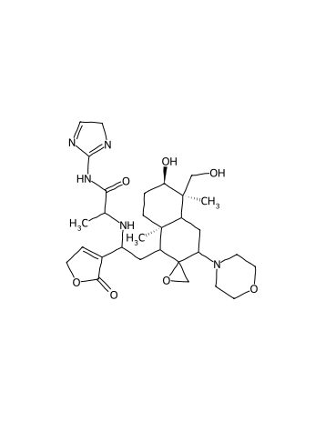 CC(NC(CC1C2(CO2)C(N2CCOCC2)CC2[C@]1(C)CC[C@@H](O)[C@@]2(C)CO)C1=CCOC1=O)C(=O)NC1=NCC=N1